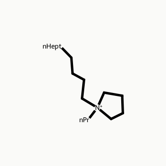 CCCCCCCCCCC[N+]1(CCC)CCCC1